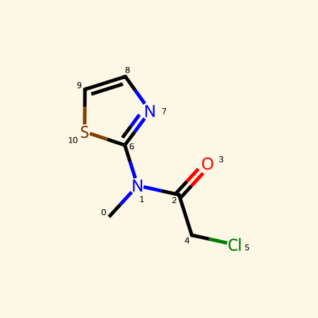 CN(C(=O)CCl)c1nccs1